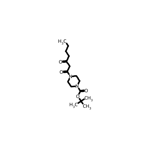 CCCCC(=O)CC(=O)N1CCN(C(=O)OC(C)(C)C)CC1